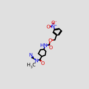 CN(C#N)C(=O)C1CCC(NC(=O)OCc2cccc([N+](=O)[O-])c2)CC1